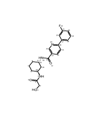 O=C(CO)N[C@H]1CCC[C@H](NC(=O)c2ccc(-c3cccc(F)c3)nc2)C1